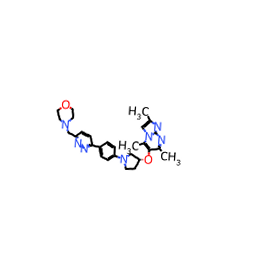 Cc1cn2c(C)c(O[C@@H]3CCN(c4ccc(-c5ccc(CN6CCOCC6)nn5)cc4)C3)c(C)nc2n1